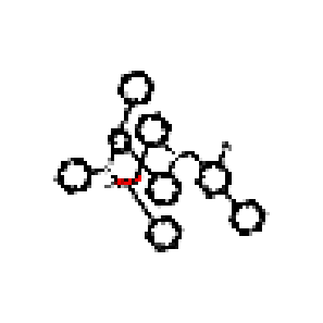 Brc1cc(-c2ccccc2)ccc1CN1c2ccccc2C2(c3ccccc31)c1cc(-c3ccccc3)ccc1N(c1ccccc1)c1ccc(-c3ccccc3)cc12